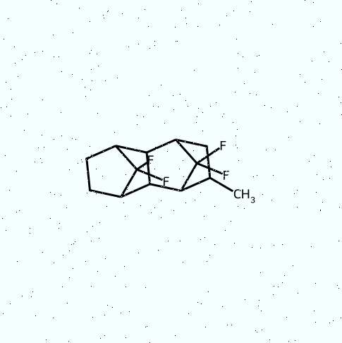 CC1CC2C3C(C4CCC3C4(F)F)C1C2(F)F